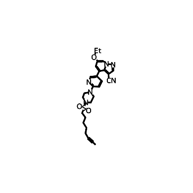 CC#CCCCCCS(=O)(=O)N1CCN(c2ccc(-c3cc(OCC)cn4ncc(C#N)c34)cn2)CC1